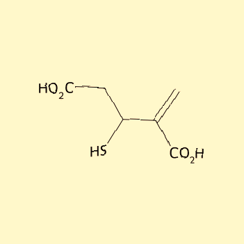 C=C(C(=O)O)C(S)CC(=O)O